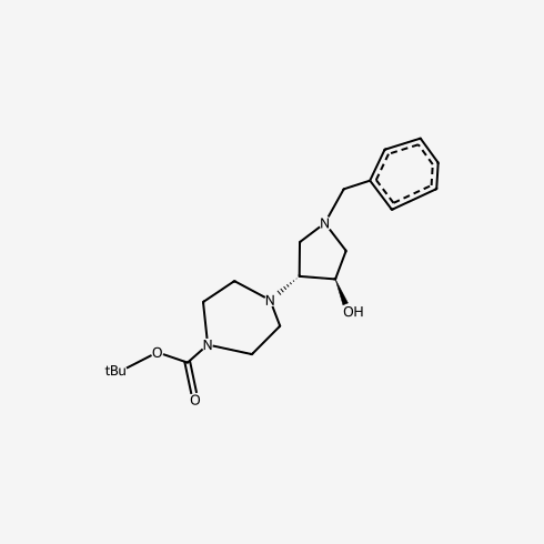 CC(C)(C)OC(=O)N1CCN([C@@H]2CN(Cc3ccccc3)C[C@H]2O)CC1